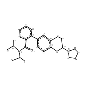 CC(C)N(C(=O)c1ccccc1-c1ccc2c(c1)CCC(N1CCCC1)C2)C(C)C